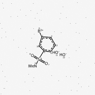 [B+2]c1cccc(S(=O)(=O)NC)c1.[OH-].[OH-]